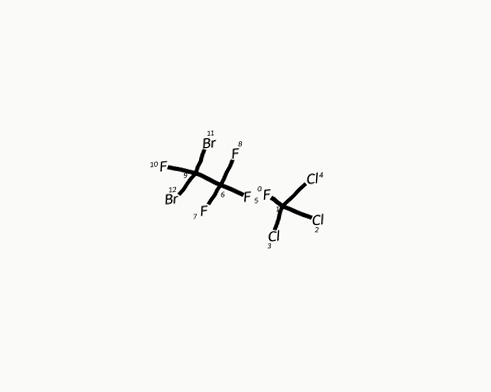 FC(Cl)(Cl)Cl.FC(F)(F)C(F)(Br)Br